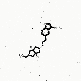 CC(=O)Nc1c[nH]c2ccc(CCC[C@@H]3C[C@@H]4CN(CC(F)(F)F)C[C@@H]4C3)cc12